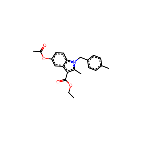 CCOC(=O)c1c(C)n(Cc2ccc(C)cc2)c2ccc(OC(C)=O)cc12